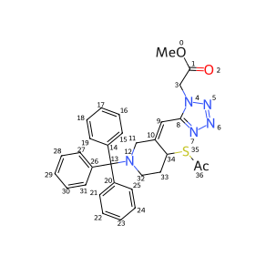 COC(=O)Cn1nnnc1/C=C1/CN(C(c2ccccc2)(c2ccccc2)c2ccccc2)CCC1SC(C)=O